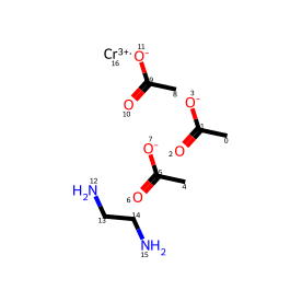 CC(=O)[O-].CC(=O)[O-].CC(=O)[O-].NCCN.[Cr+3]